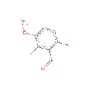 COc1ccc(F)c(C=O)c1I